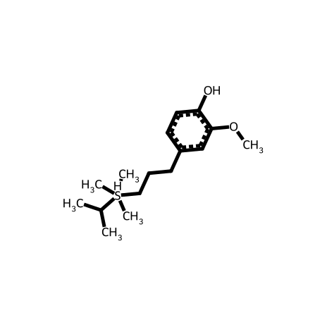 COc1cc(CCC[SH](C)(C)(C)C(C)C)ccc1O